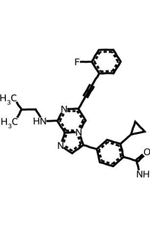 CC(C)CNc1nc(C#Cc2ccccc2F)cn2c(-c3ccc(C(N)=O)c(C4CC4)c3)cnc12